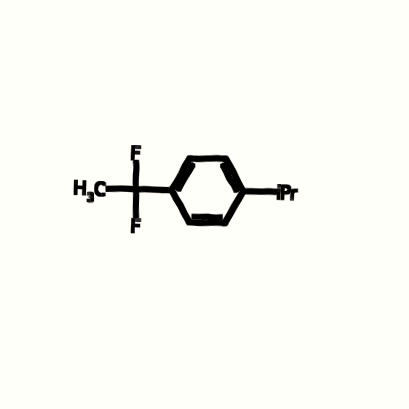 CC(C)c1ccc(C(C)(F)F)cc1